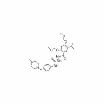 COCOc1cc(OCOC)c(C(C)C)cc1C(=O)NNC(=S)Nc1ccc(CN2CCN(C)CC2)cc1